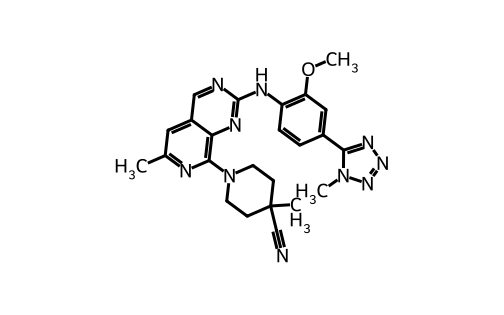 COc1cc(-c2nnnn2C)ccc1Nc1ncc2cc(C)nc(N3CCC(C)(C#N)CC3)c2n1